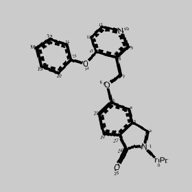 CCCN1Cc2cc(OCc3cnccc3Oc3ccccc3)ccc2C1=O